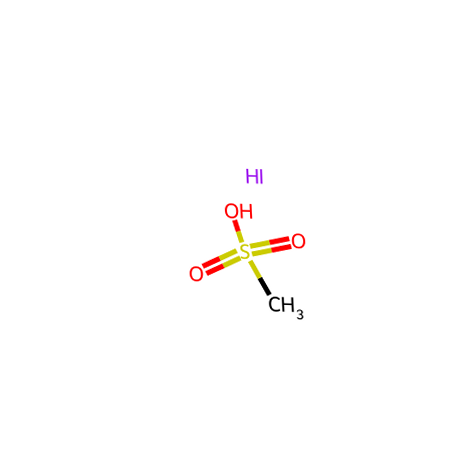 CS(=O)(=O)O.I